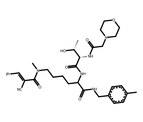 Cc1ccc(CNC(=O)C(CCCCN(C)C(=O)C(C#N)=CC(C)C)NC(=O)[C@@H](NC(=O)CN2CCOCC2)[C@@H](C)O)cc1